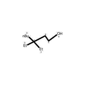 CCCCC(CC)(CC)CCO